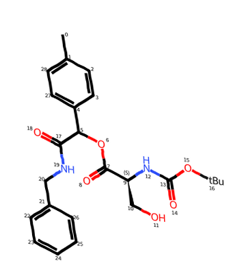 Cc1ccc(C(OC(=O)[C@H](CO)NC(=O)OC(C)(C)C)C(=O)NCc2ccccc2)cc1